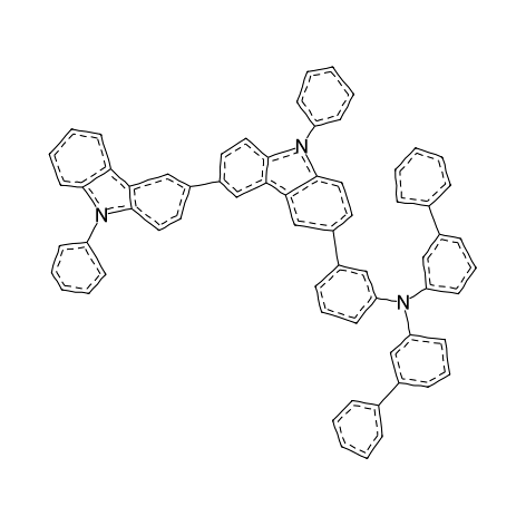 c1ccc(-c2cccc(N(c3cccc(-c4ccccc4)c3)c3cccc(-c4ccc5c(c4)c4cc(-c6ccc7c(c6)c6ccccc6n7-c6ccccc6)ccc4n5-c4ccccc4)c3)c2)cc1